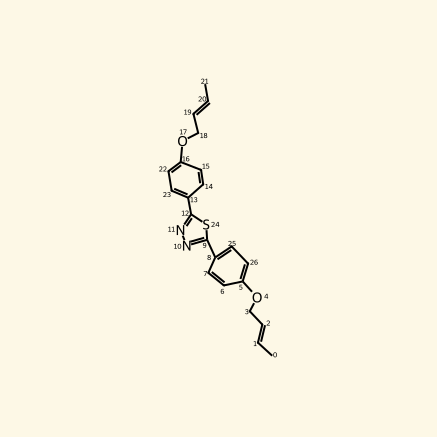 CC=CCOc1ccc(-c2nnc(-c3ccc(OCC=CC)cc3)s2)cc1